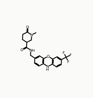 CN1CC(C(=O)NCc2ccc3c(c2)Oc2cc(C(F)(F)F)ccc2N3)CCC1=O